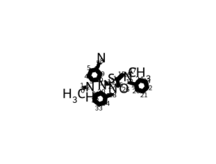 CCNc1ccc(C#N)cc1N=C1SC(=CN(C)Cc2ccccc2)C(=O)N1Cc1ccccc1